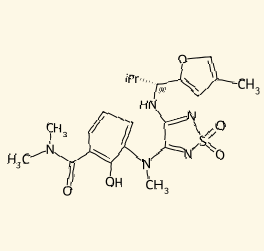 Cc1coc([C@H](NC2=NS(=O)(=O)N=C2N(C)c2cccc(C(=O)N(C)C)c2O)C(C)C)c1